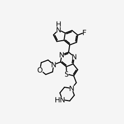 Fc1cc(-c2nc(N3CCOCC3)c3sc(CN4CCNCC4)cc3n2)c2cc[nH]c2c1